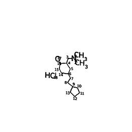 CN(C)CC1CC(CCC2CCCC2)CCC1=O.Cl